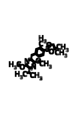 COC1=N[C@H](C(C)C)C(OC)=N[C@H]1Cc1ccc(B2OCC(C)(C)O2)c(C)c1